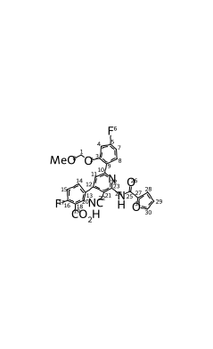 COCOc1cc(F)ccc1-c1cc(-c2ccc(F)c(C(=O)O)c2)c(C#N)c(NC(=O)c2ccco2)n1